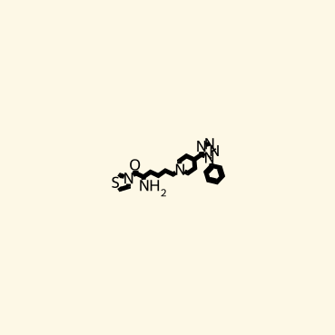 NC(CCCCN1CCC(c2nnnn2-c2ccccc2)CC1)C(=O)N1CCSC1